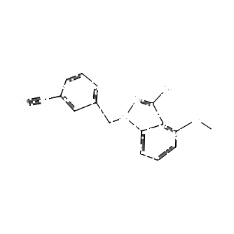 COc1cccc2c1c(N)nn2Cc1cccc(C#N)c1